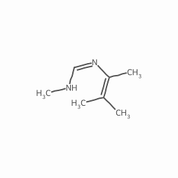 CN/C=N\C(C)=C(C)C